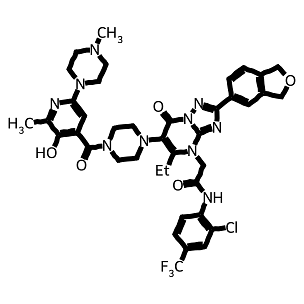 CCc1c(N2CCN(C(=O)c3cc(N4CCN(C)CC4)nc(C)c3O)CC2)c(=O)n2nc(-c3ccc4c(c3)COC4)nc2n1CC(=O)Nc1ccc(C(F)(F)F)cc1Cl